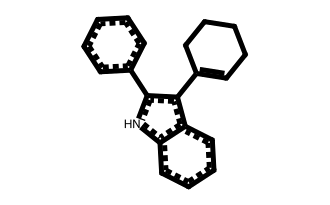 C1=C(c2c(-c3ccccc3)[nH]c3ccccc23)CCCC1